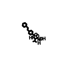 CC(C)[C@H](NC(=O)c1ccc(C=Cc2ccccc2)cc1)C(=O)NO